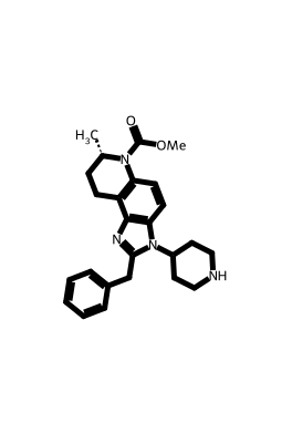 COC(=O)N1c2ccc3c(nc(Cc4ccccc4)n3C3CCNCC3)c2CC[C@@H]1C